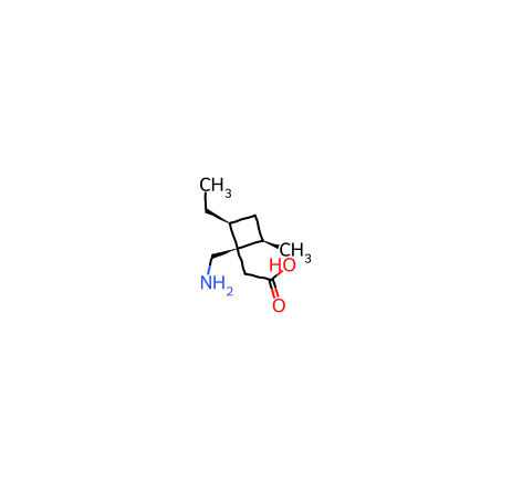 CC[C@H]1C[C@@H](C)[C@]1(CN)CC(=O)O